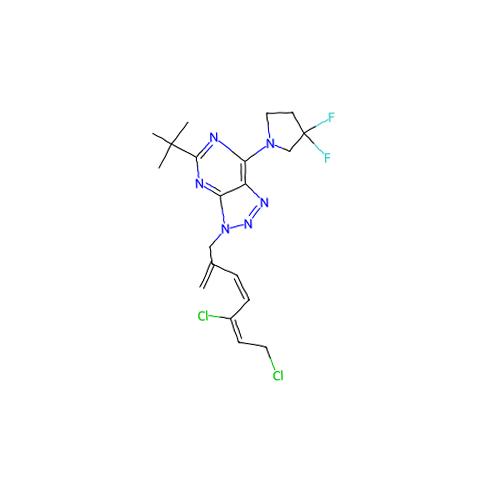 C=C(/C=C\C(Cl)=C/CCl)Cn1nnc2c(N3CCC(F)(F)C3)nc(C(C)(C)C)nc21